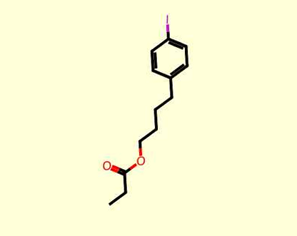 CCC(=O)OCCCCc1ccc(I)cc1